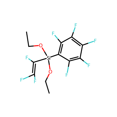 CCO[Si](OCC)(C(F)=C(F)F)c1c(F)c(F)c(F)c(F)c1F